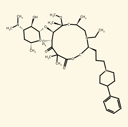 CCN1C[C@H](C)C[C@@](C)(OC)[C@H](O[C@@H]2O[C@H](C)C[C@H](N(C)C)[C@H]2O)[C@@H](C)C(=O)C(C)(C)C(=O)OC[C@@H]1CCCN1CCC(c2ccccc2)CC1